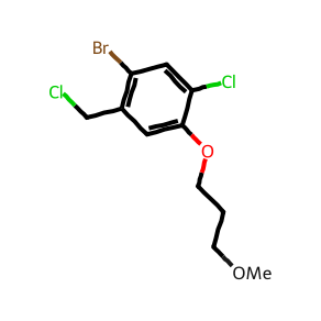 COCCCOc1cc(CCl)c(Br)cc1Cl